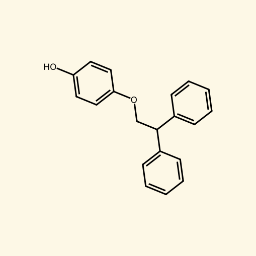 Oc1ccc(OCC(c2ccccc2)c2ccccc2)cc1